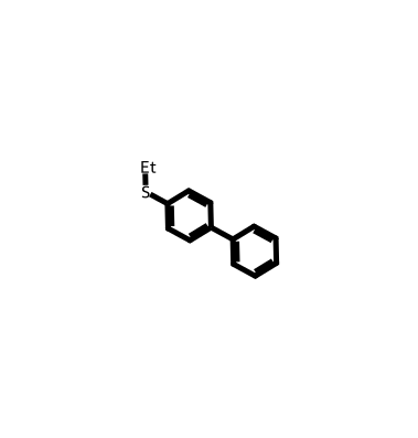 [CH2]CSc1ccc(-c2ccccc2)cc1